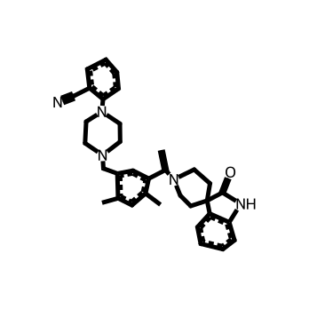 C=C(c1cc(CN2CCN(c3ccccc3C#N)CC2)c(C)cc1C)N1CCC2(CC1)C(=O)Nc1ccccc12